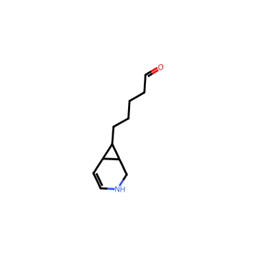 O=CCCCCC1C2C=CNCC21